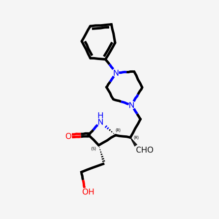 O=C[C@H](CN1CCN(c2ccccc2)CC1)[C@H]1NC(=O)[C@H]1CCO